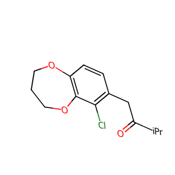 CC(C)C(=O)Cc1ccc2c(c1Cl)OCCCO2